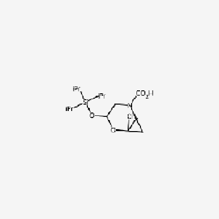 CC(C)[Si](OC1CN(C(=O)O)C2CC2(C)O1)(C(C)C)C(C)C